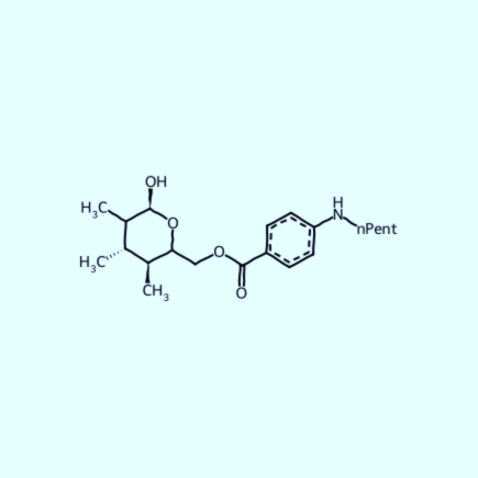 CCCCCNc1ccc(C(=O)OCC2O[C@H](O)C(C)[C@@H](C)[C@@H]2C)cc1